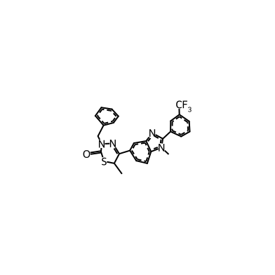 CC1SC(=O)N(Cc2ccccc2)N=C1c1ccc2c(c1)nc(-c1cccc(C(F)(F)F)c1)n2C